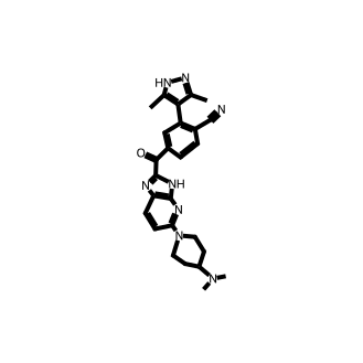 Cc1n[nH]c(C)c1-c1cc(C(=O)c2nc3ccc(N4CCC(N(C)C)CC4)nc3[nH]2)ccc1C#N